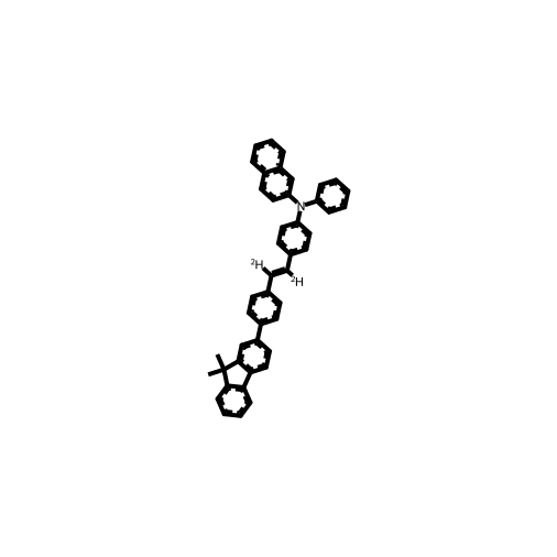 [2H]/C(=C(/[2H])c1ccc(N(c2ccccc2)c2ccc3ccccc3c2)cc1)c1ccc(-c2ccc3c(c2)C(C)(C)c2ccccc2-3)cc1